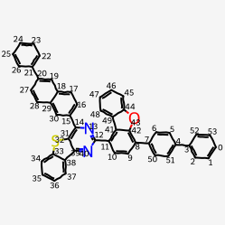 c1ccc(-c2ccc(-c3ccc(-c4nc(-c5ccc6cc(-c7ccccc7)ccc6c5)c5sc6ccccc6c5n4)c4c3oc3ccccc34)cc2)cc1